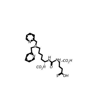 O=C(N[C@@H](CCCCN(Cc1ccccn1)Cc1ccccn1)C(=O)O)N[C@@H](CCC(O)=S)C(=O)O